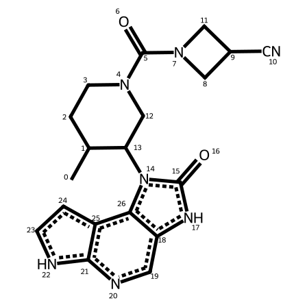 CC1CCN(C(=O)N2CC(C#N)C2)CC1n1c(=O)[nH]c2cnc3[nH]ccc3c21